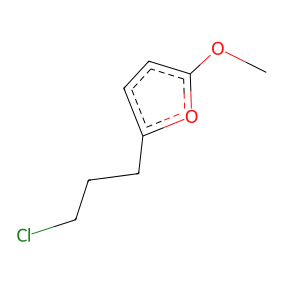 COc1ccc(CCCCl)o1